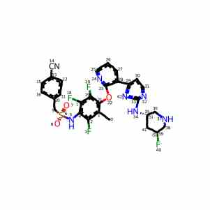 Cc1c(F)c(NS(=O)(=O)Cc2ccc(C#N)cc2)c(F)c(F)c1Oc1ncccc1-c1ccnc(N[C@@H]2CNC[C@@H](F)C2)n1